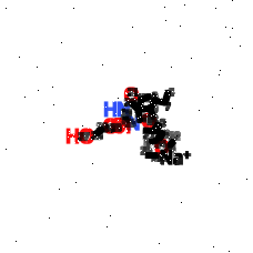 C=CC.C=CC.CCCC(C)C1(CC)C(=O)N=C([O-])NC1=O.CCOCC.OCCO.[Na+]